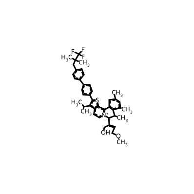 COC/C=C(\CO)C1C(C)c2c(C)cc(C)cc2-c2c3sc(-c4ccc(-c5ccc(CC(C)(C)C(F)(F)F)cc5)cc4)c(C(C)C)c3cc[n+]21